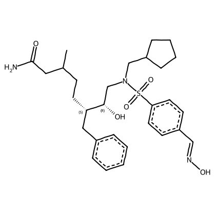 CC(CC[C@@H](Cc1ccccc1)[C@@H](O)CN(CC1CCCC1)S(=O)(=O)c1ccc(C=NO)cc1)CC(N)=O